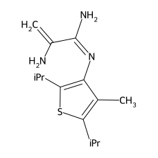 C=C(N)/C(N)=N\c1c(C(C)C)sc(C(C)C)c1C